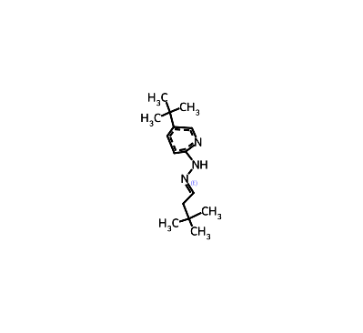 CC(C)(C)C/C=N/Nc1ccc(C(C)(C)C)cn1